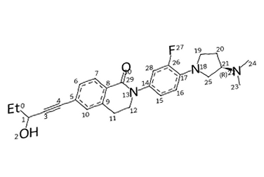 CCC(O)C#Cc1ccc2c(c1)CCN(c1ccc(N3CC[C@@H](N(C)C)C3)c(F)c1)C2=O